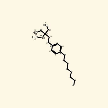 CCCCCCCCc1ccc(CCC(CO)(CO)NN)cc1